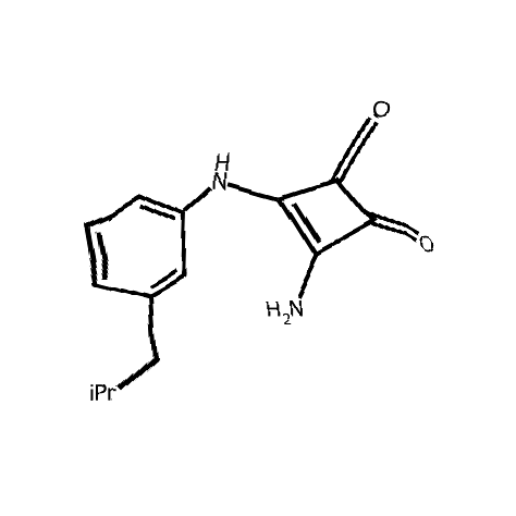 CC(C)Cc1cccc(Nc2c(N)c(=O)c2=O)c1